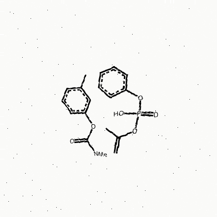 C=C(C)OP(=O)(O)Oc1ccccc1.CNC(=O)Oc1cccc(C)c1